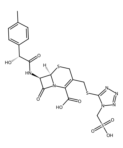 Cc1ccc([C@@H](O)C(=O)N[C@@H]2C(=O)N3C(C(=O)O)=C(CSc4nnnn4CS(=O)(=O)O)CS[C@H]23)cc1